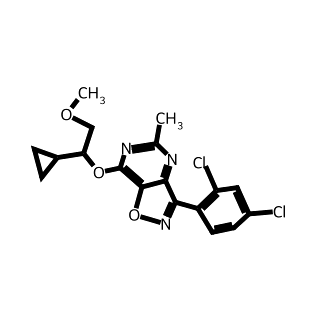 COCC(Oc1nc(C)nc2c(-c3ccc(Cl)cc3Cl)noc12)C1CC1